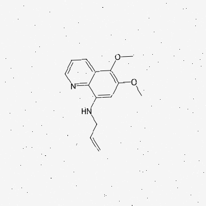 C=CCNc1cc(OC)c(OC)c2cccnc12